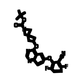 CC(C)(C)OC(=O)N1CC2(CC(Oc3ncnc4ccc(Oc5c(F)ccc(F)c5C#N)cc34)C2)C1